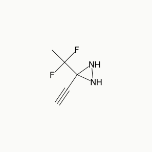 C#CC1(C(C)(F)F)NN1